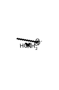 CCC(N)[N+](C)(C)C(O)CC.CCCCCCCCCCCCCCCCCCCCC(Cl)C(=O)[O-]